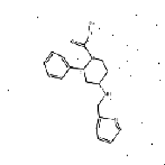 CC(C)(C)OC(=O)N1CCC(NCc2ccccn2)C[C@H]1c1ccccc1